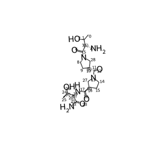 CC(O)[C@H](N)C(=O)N1CC[C@@H](C(=O)N2CC[C@@H](C(=O)N[C@H](C(N)=O)[C@@H](C)O)C2)C1